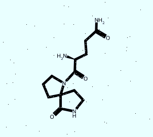 NC(=O)CC[C@H](N)C(=O)N1CCCC12CCNC2=O